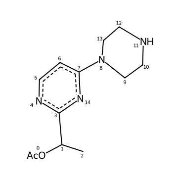 CC(=O)OC(C)c1nccc(N2CCNCC2)n1